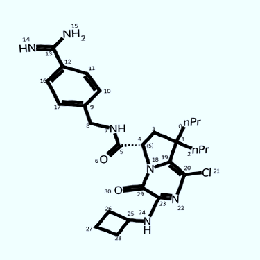 CCCC1(CCC)C[C@@H](C(=O)NCc2ccc(C(=N)N)cc2)n2c1c(Cl)nc(NC1CCC1)c2=O